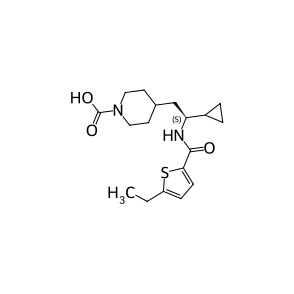 CCc1ccc(C(=O)N[C@@H](CC2CCN(C(=O)O)CC2)C2CC2)s1